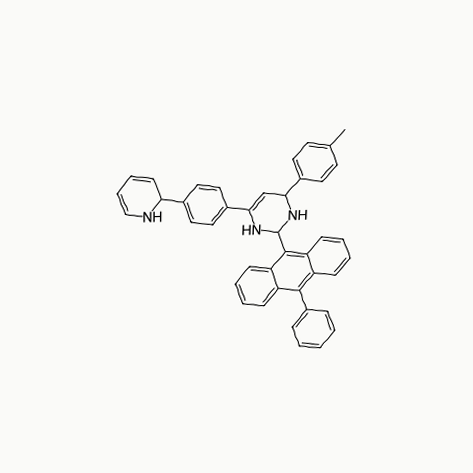 Cc1ccc(C2C=C(c3ccc(C4C=CC=CN4)cc3)NC(c3c4ccccc4c(-c4ccccc4)c4ccccc34)N2)cc1